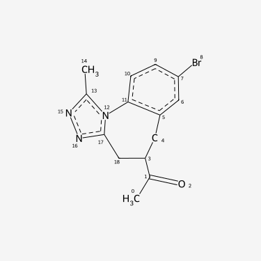 CC(=O)C1Cc2cc(Br)ccc2-n2c(C)nnc2C1